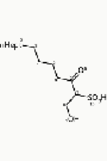 CCCCCCCCCCCC(=O)C(CO)S(=O)(=O)O